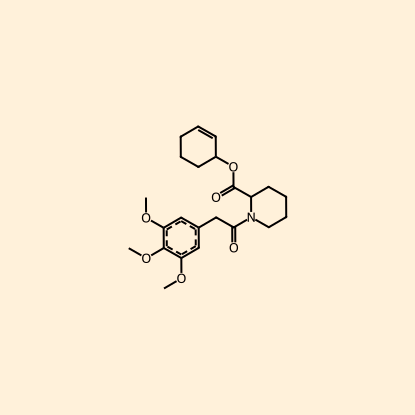 COc1cc(CC(=O)N2CCCCC2C(=O)OC2C=CCCC2)cc(OC)c1OC